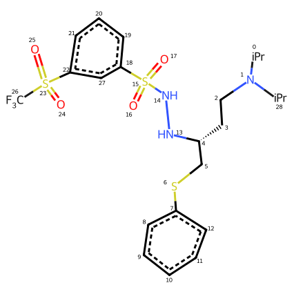 CC(C)N(CC[C@H](CSc1ccccc1)NNS(=O)(=O)c1cccc(S(=O)(=O)C(F)(F)F)c1)C(C)C